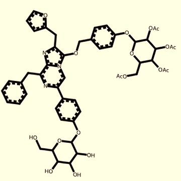 CC(=O)OCC1OC(Oc2ccc(COc3c(Cc4ccco4)nc4c(Cc5ccccc5)nc(-c5ccc(OC6OC(CO)C(O)C(O)C6O)cc5)cn34)cc2)C(OC(C)=O)C(OC(C)=O)C1OC(C)=O